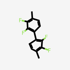 Cc1ccc(-c2ccc(C)c(F)c2F)c(F)c1F